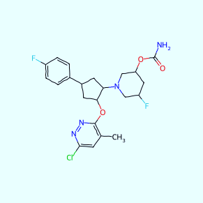 Cc1cc(Cl)nnc1OC1CC(c2ccc(F)cc2)CC1N1CC(F)CC(OC(N)=O)C1